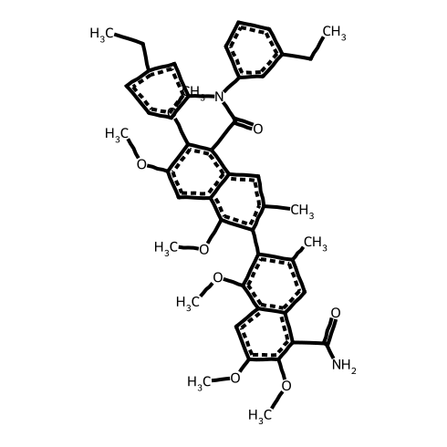 CCc1cccc(N(C(=O)c2c(OC)c(OC)cc3c(OC)c(-c4c(C)cc5c(C(N)=O)c(OC)c(OC)cc5c4OC)c(C)cc23)c2cccc(CC)c2)c1